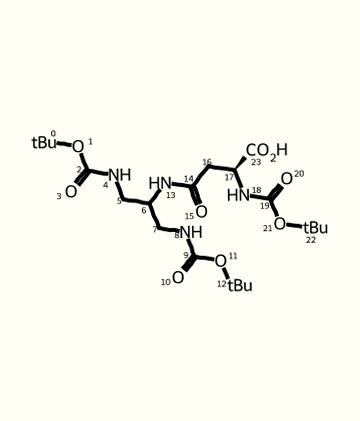 CC(C)(C)OC(=O)NCC(CNC(=O)OC(C)(C)C)NC(=O)C[C@H](NC(=O)OC(C)(C)C)C(=O)O